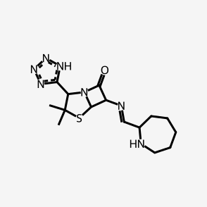 CC1(C)SC2C(N=CC3CCCCCN3)C(=O)N2C1c1nnn[nH]1